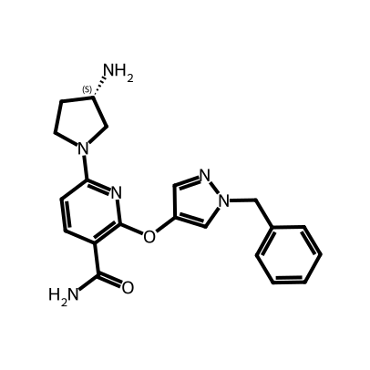 NC(=O)c1ccc(N2CC[C@H](N)C2)nc1Oc1cnn(Cc2ccccc2)c1